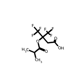 CC(C)C(=O)OC(CC(=O)O)(C(F)(F)F)C(F)(F)F